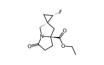 CCOC(=O)[C@@]12CCC(=O)N1C[C@@]1(C[C@@H]1F)C2